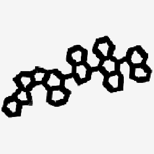 c1ccc2c(-c3c4ccccc4c(-c4ccc(-c5cc6sc7ccc8c9ccccc9sc8c7c6c6ccccc56)c5ccccc45)c4ccccc34)cccc2c1